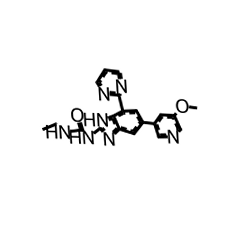 CCNC(=O)Nc1nc2cc(-c3cncc(OC)c3)cc(-c3ncccn3)c2[nH]1